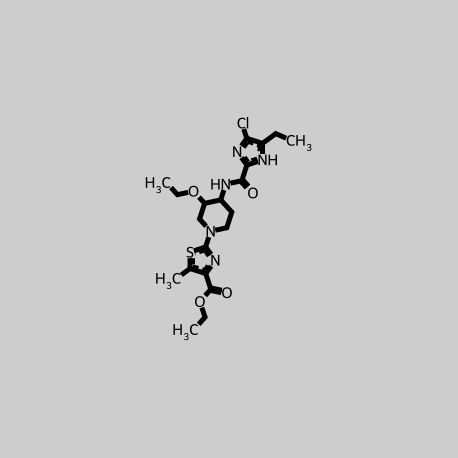 CCOC(=O)c1nc(N2CCC(NC(=O)c3nc(Cl)c(CC)[nH]3)C(OCC)C2)sc1C